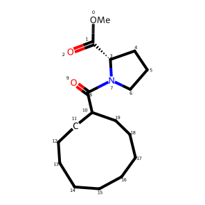 COC(=O)[C@@H]1CCCN1C(=O)C1CCCCCCCCC1